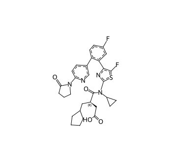 O=C(O)C[C@@H](CC1CCCC1)C(=O)N(c1nc(-c2cc(F)ccc2-c2ccc(N3CCCC3=O)nc2)c(F)s1)C1CC1